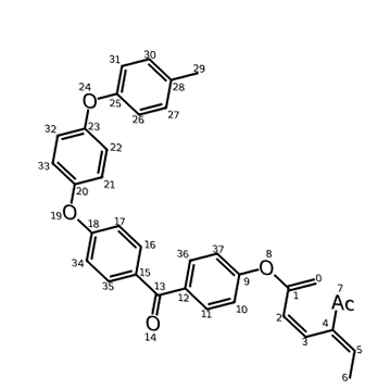 C=C(/C=C\C(=C/C)C(C)=O)Oc1ccc(C(=O)c2ccc(Oc3ccc(Oc4ccc(C)cc4)cc3)cc2)cc1